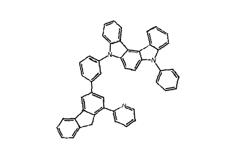 c1ccc(-n2c3ccccc3c3c4c5ccccc5n(-c5cccc(-c6cc(-c7ccccn7)c7c(c6)-c6ccccc6C7)c5)c4ccc32)cc1